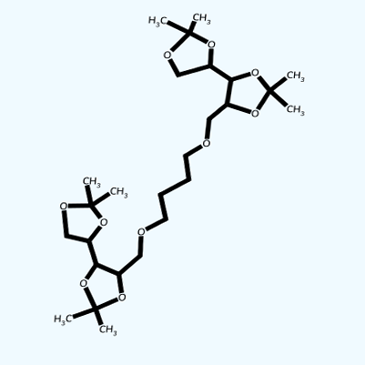 CC1(C)OCC(C2OC(C)(C)OC2COCCCCOCC2OC(C)(C)OC2C2COC(C)(C)O2)O1